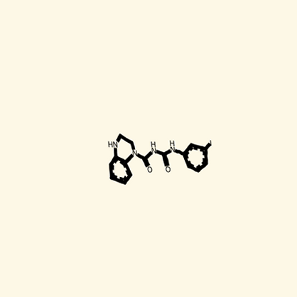 O=C(NC(=O)N1CCNc2c[c]ccc21)Nc1cccc(I)c1